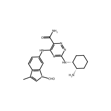 Cc1cn(C=O)c2cc(Nc3nc(N[C@@H]4CCCC[C@@H]4N)nnc3C(N)=O)ccc12